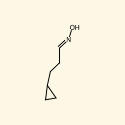 ON=CCCC1CC1